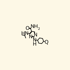 COC1CCC(Nc2ncc(C(N)=O)c(NC(C)C)n2)CC1